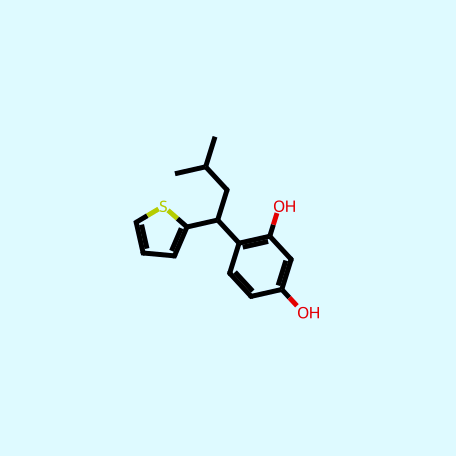 CC(C)CC(c1cccs1)c1ccc(O)cc1O